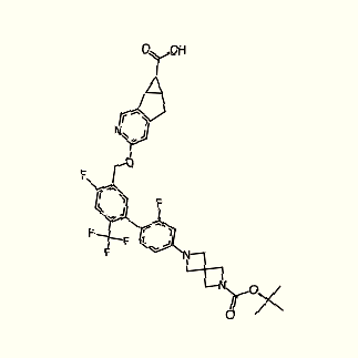 CC(C)(C)OC(=O)N1CC2(C1)CN(c1ccc(-c3cc(COc4cc5c(cn4)C4C(C5)C4C(=O)O)c(F)cc3C(F)(F)F)c(F)c1)C2